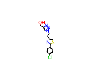 OCc1cn(CCc2csc(-c3ccc(Cl)cc3)n2)nn1